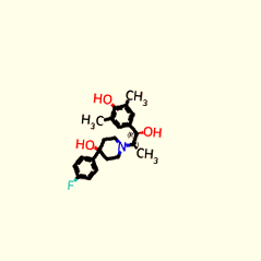 Cc1cc([C@@H](O)[C@@H](C)N2CCC(O)(c3ccc(F)cc3)CC2)cc(C)c1O